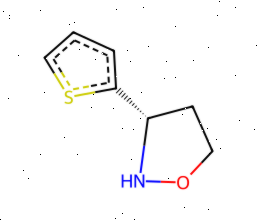 c1csc([C@@H]2CCON2)c1